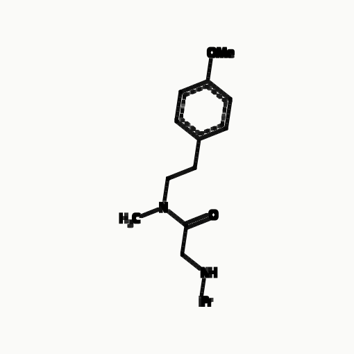 COc1ccc(CCN(C)C(=O)CNC(C)C)cc1